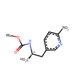 CC(C)(C)OC(=O)N[C@@H](Cc1ccc([N+](=O)[O-])nc1)C(=O)O